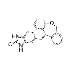 O=c1[nH]c2ccc(C=C3c4ccccc4COc4ccccc43)cc2[nH]1